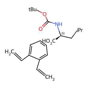 C=Cc1ccccc1C=C.CC(C)C[C@H](NC(=O)OC(C)(C)C)C(=O)O